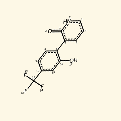 O=c1[nH]cccc1-c1ccc(C(F)(F)F)cc1O